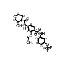 CCOc1cc(NC(=O)[C@H]2CCOC[C@@H]2O)ccc1S(=O)(=O)Nc1cccc(OC(F)(F)F)c1